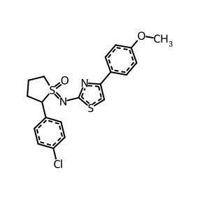 COc1ccc(-c2csc(N=S3(=O)CCCC3c3ccc(Cl)cc3)n2)cc1